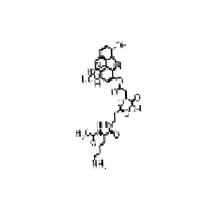 CC(=O)NC(CCCCN)C(=O)NCCC(=O)OC(CC(=O)OC1=CC[C@@]2(O)[C@H]3Cc4ccc(O)c5c4[C@@]2(CCN3C)[C@H]1O5)C(=O)O